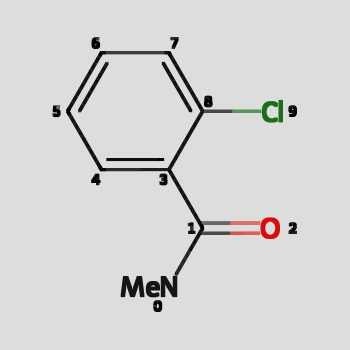 [CH]NC(=O)c1ccccc1Cl